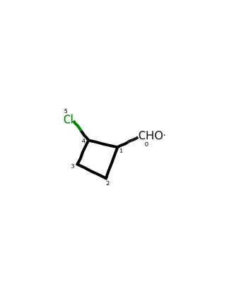 O=[C]C1CCC1Cl